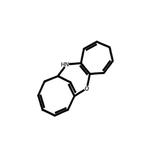 C1=CCC2C=C(/C=C\1)OC1=C(C=CCC=C1)N2